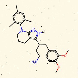 COc1ccc(CC(CCN)c2c3c(nn2C)N(c2c(C)cc(C)cc2C)CCC3)cc1OC